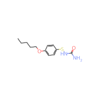 CCCCCOc1ccc(SNC(N)=O)cc1